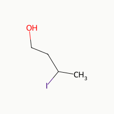 CC(I)CCO